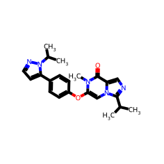 CC(C)c1ncc2c(=O)n(C)c(Oc3ccc(-c4ccnn4C(C)C)cc3)cn12